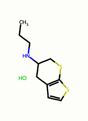 CCCNC1CSc2sccc2C1.Cl